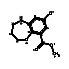 COC(=O)c1cc(Cl)cc2c1OCCCN2